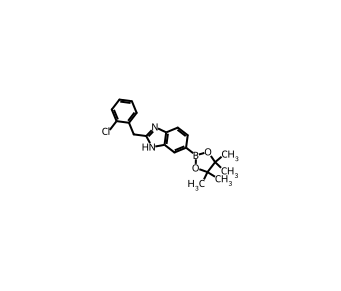 CC1(C)OB(c2ccc3nc(Cc4ccccc4Cl)[nH]c3c2)OC1(C)C